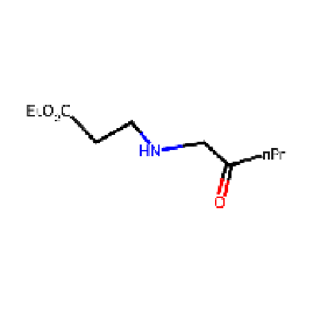 CCCC(=O)CNCCC(=O)OCC